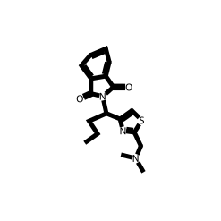 CCCC(c1csc(CN(C)C)n1)N1C(=O)c2ccccc2C1=O